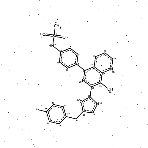 CS(=O)(=O)Nc1ccc(-c2nc(-c3ncc(Cc4ccc(F)cc4)o3)c(O)c3ncccc23)cc1